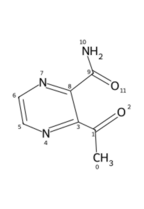 CC(=O)c1nccnc1C(N)=O